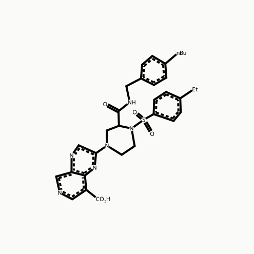 CCCCc1ccc(CNC(=O)C2CN(c3cnc4cncc(C(=O)O)c4n3)CCN2S(=O)(=O)c2ccc(CC)cc2)cc1